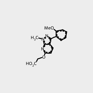 COc1ccccc1-c1nn(C)c2nc(OCC(=O)O)ccc12